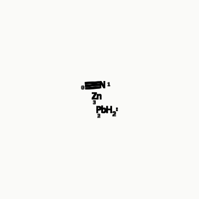 C#N.[PbH2].[Zn]